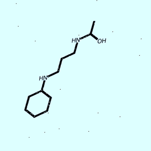 CC(O)NCCCNC1CCCCC1